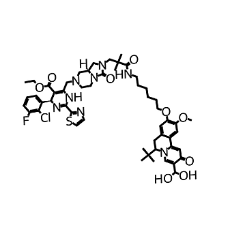 CCOC(=O)C1=C(CN2CCN3C(=O)N(CC(C)(C)C(=O)NCCCCCCOc4cc5c(cc4OC)-c4cc(=O)c(C(O)O)cn4C(C(C)(C)C)C5)C[C@@H]3C2)NC(c2nccs2)=N[C@H]1c1cccc(F)c1Cl